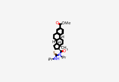 COC(=O)c1ccc2c(c1)CC[C@@H]1[C@@H]2CC[C@]2(C)[C@@H](C(=O)N(C(=S)NC(C)C)C(C)C)CC[C@@H]12